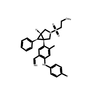 COCCS(=O)(=O)N1C[C@H]2[C@H](c3ccccc3)[C@@]2(c2cc(C=N)c(Nc3ccc(F)cc3)cc2C)C1